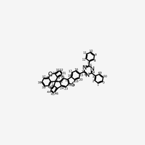 c1ccc(-c2nc(-c3ccccc3)nc(-c3ccc4c(c3)sc3cc5c(cc34)C3(c4ccccc4Oc4ccccc43)c3ccccc3-5)n2)cc1